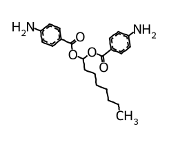 CCCCCCCC(OC(=O)c1ccc(N)cc1)OC(=O)c1ccc(N)cc1